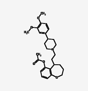 COc1ccc(C2CCN(CCC3CCCOc4cccc(OC(C)=O)c43)CC2)cc1OC